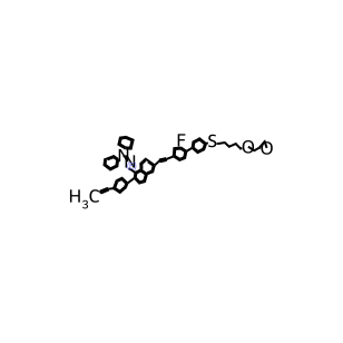 CC#Cc1ccc(-c2ccc3cc(C#Cc4ccc(-c5ccc(SCCCCCOCC6CO6)cc5)c(F)c4)ccc3c2/C=N/N(c2ccccc2)c2ccccc2)cc1